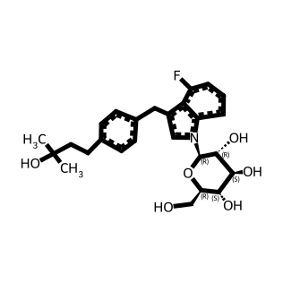 CC(C)(O)CCc1ccc(Cc2cn([C@@H]3O[C@H](CO)[C@@H](O)[C@H](O)[C@H]3O)c3cccc(F)c23)cc1